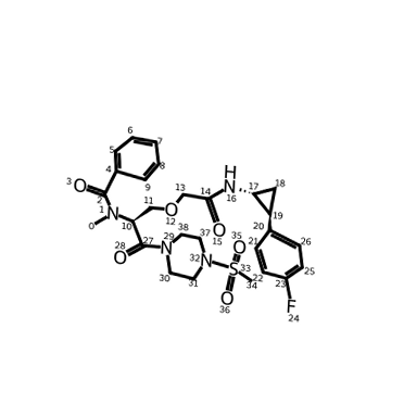 CN(C(=O)c1ccccc1)[C@@H](COCC(=O)N[C@@H]1C[C@H]1c1ccc(F)cc1)C(=O)N1CCN(S(C)(=O)=O)CC1